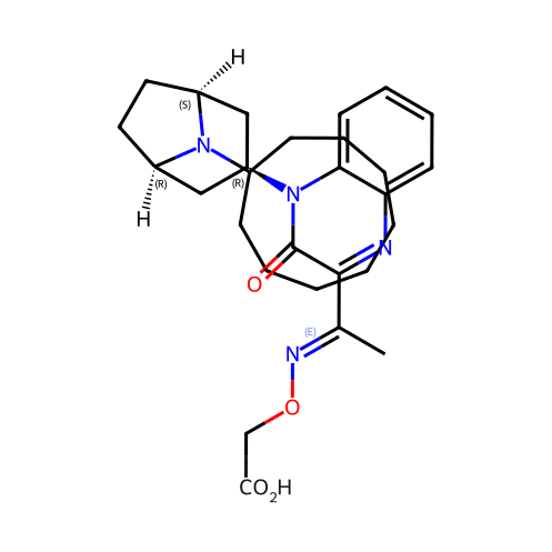 C/C(=N\OCC(=O)O)c1nc2ccccc2n([C@H]2C[C@H]3CC[C@@H](C2)N3C2CCCCCCCC2)c1=O